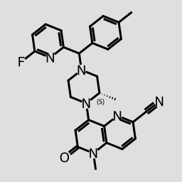 Cc1ccc(C(c2cccc(F)n2)N2CCN(c3cc(=O)n(C)c4ccc(C#N)nc34)[C@@H](C)C2)cc1